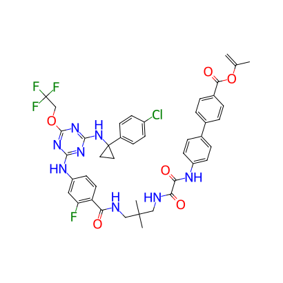 C=C(C)OC(=O)c1ccc(-c2ccc(NC(=O)C(=O)NCC(C)(C)CNC(=O)c3ccc(Nc4nc(NC5(c6ccc(Cl)cc6)CC5)nc(OCC(F)(F)F)n4)cc3F)cc2)cc1